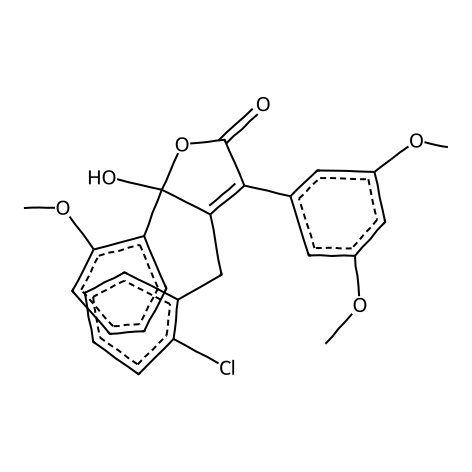 COc1cc(OC)cc(C2=C(Cc3ccccc3Cl)C(O)(c3ccccc3OC)OC2=O)c1